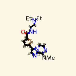 CCN(CC)CCNC(=O)c1ccc(-c2cnc3c(NC)nccn23)s1